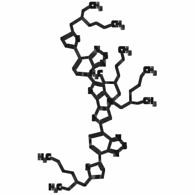 CCCCC(CC)Cc1ccc(-c2ccc(-c3cc4c(s3)-c3sc(-c5ccc(-c6ccc(CC(CC)CCCC)s6)c6nsnc56)cc3[Si]4(CC(CC)CCCC)CC(CC)CCCC)c3nsnc23)s1